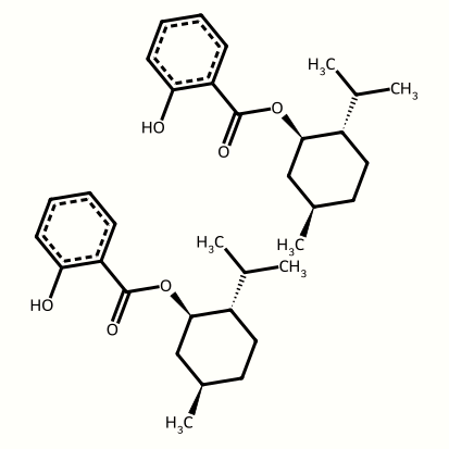 CC(C)[C@@H]1CC[C@@H](C)C[C@H]1OC(=O)c1ccccc1O.CC(C)[C@@H]1CC[C@@H](C)C[C@H]1OC(=O)c1ccccc1O